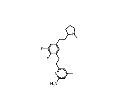 Cc1cc(N)nc(CCc2cc(CCC3CCCN3C)cc(F)c2F)c1